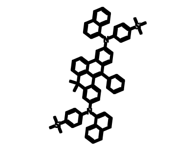 CC1(C)c2cc(N(c3ccc([Si](C)(C)C)cc3)c3cccc4ccccc34)ccc2-c2c(-c3ccccc3)c3ccc(N(c4ccc([Si](C)(C)C)cc4)c4cccc5ccccc45)cc3c3cccc1c23